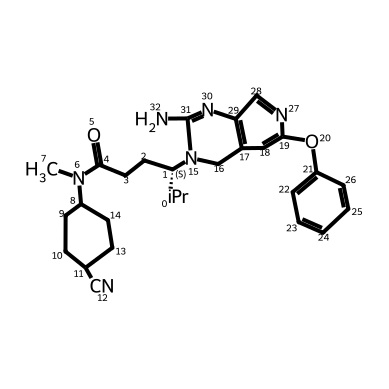 CC(C)[C@H](CCC(=O)N(C)C1CCC(C#N)CC1)N1Cc2cc(Oc3ccccc3)ncc2N=C1N